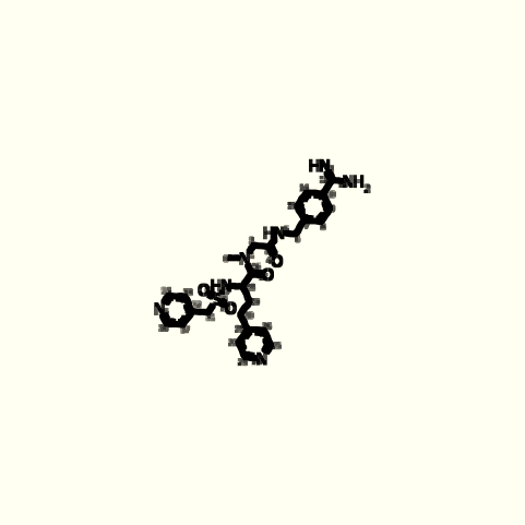 CN(CC(=O)NCc1ccc(C(=N)N)cc1)C(=O)C(CCc1ccncc1)NS(=O)(=O)Cc1ccncc1